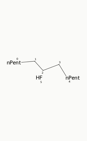 CCCCCCCCCCCCC.F